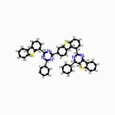 c1ccc(-c2nc(-c3ccc4c(c3)sc3cccc(-c5nc(-c6ccccc6)c6sc7ccccc7c6n5)c34)nc(-c3cccc4c3sc3ccccc34)n2)cc1